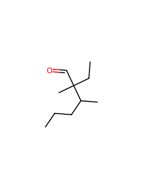 CCCC(C)C(C)(C=O)CC